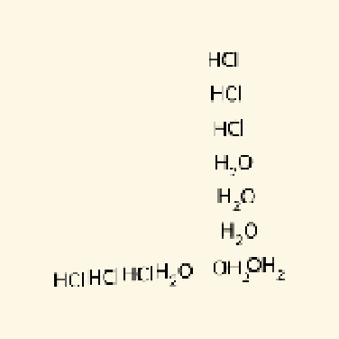 Cl.Cl.Cl.Cl.Cl.Cl.O.O.O.O.O.O